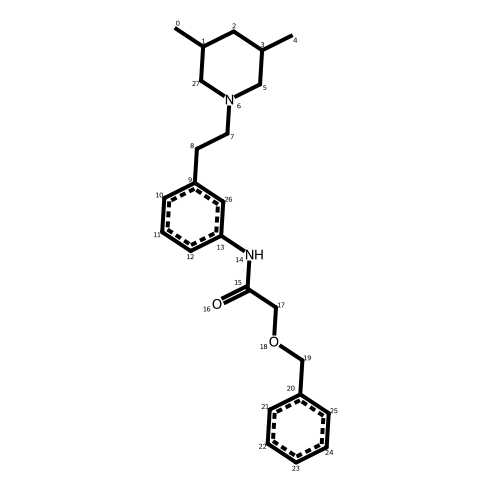 CC1CC(C)CN(CCc2cccc(NC(=O)COCc3ccccc3)c2)C1